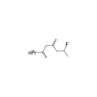 C=C(CCC)CC(=C)CC(C)F